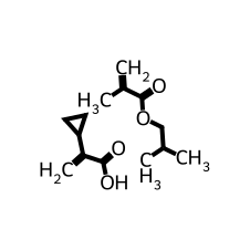 C=C(C(=O)O)C1CC1.C=C(C)C(=O)OCC(C)C